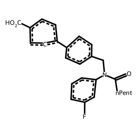 CCCCCC(=O)N(Cc1ccc(-c2ccc(C(=O)O)cc2)cc1)c1cccc(F)c1